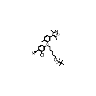 Cc1ccc(-c2c(C)noc2C)cc1N(CCCCCO[Si](C)(C)C(C)(C)C)c1ccc(C#N)c(Cl)c1